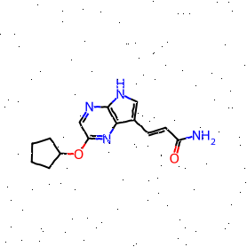 NC(=O)C=Cc1c[nH]c2ncc(OC3CCCC3)nc12